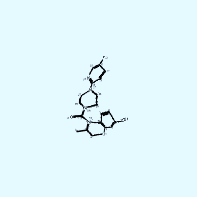 CC1COc2cc(O)ccc2N1C(=O)N1CCN(c2ccc(F)cn2)CC1